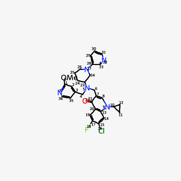 COc1cc(CN(Cc2cn(C3CC3)c3cc(Cl)c(F)cc3c2=O)C2CCCN(c3cccnc3)C2)ccn1